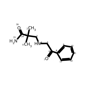 CC(C)(CNCC(=O)c1ccccc1)C(N)=O